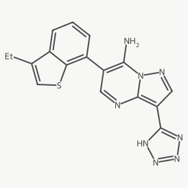 CCc1csc2c(-c3cnc4c(-c5nnn[nH]5)cnn4c3N)cccc12